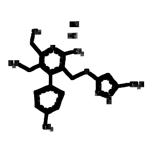 Cc1ccc(-c2c(COc3cc(C(=O)O)[nH]n3)c(C)nc(CC(C)(C)C)c2CN)cc1.Cl.Cl